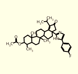 CC(=O)OC1CCC2(C)C(CCC3(C)C4CCC5(c6ncc(-c7ccc(F)cc7)[nH]6)CC(=O)C(C(C)C)=C5C4CCC32)C1C